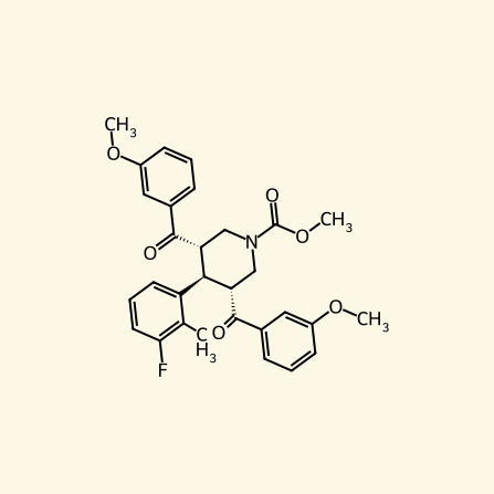 COC(=O)N1C[C@H](C(=O)c2cccc(OC)c2)[C@@H](c2cccc(F)c2C)[C@H](C(=O)c2cccc(OC)c2)C1